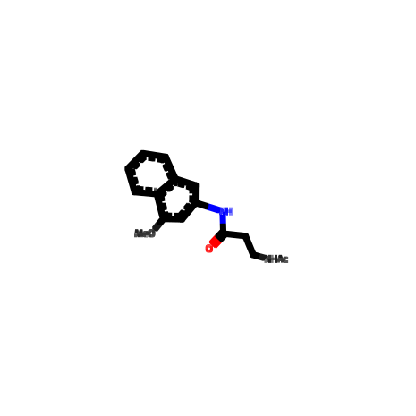 COc1cc(NC(=O)CCNC(C)=O)cc2ccccc12